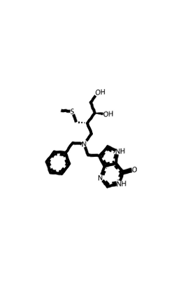 CSC[C@@H](CN(Cc1ccccc1)Cc1c[nH]c2c(=O)[nH]cnc12)[C@H](O)CO